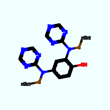 CCCCCCCCSN(c1ccc(O)c(N(SCCCCCCCC)c2ncncn2)c1)c1ncncn1